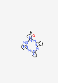 O=C1[C]([Ti])=CCc2c3[nH]c(c21)N=C1N=C(N=c2[nH]/c(c4ccccc24)=N\c2[nH]c(c4ccccc24)N3)c2ccccc21